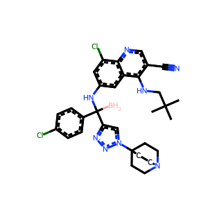 BC(Nc1cc(Cl)c2ncc(C#N)c(NCC(C)(C)C)c2c1)(c1ccc(Cl)cc1)c1cn(C23CCN(CC2)CC3)nn1